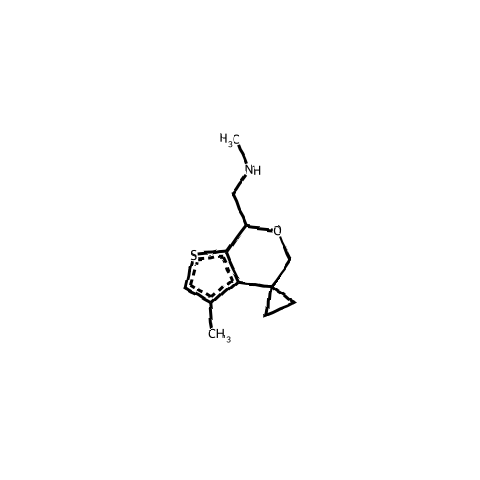 CNCC1OCC2(CC2)c2c(C)csc21